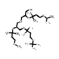 COCCC(C)(C)OC(COCC(CO)OC(C)(C)CCOC(C)C)COC(C)(C)CCOC(C)(C)C